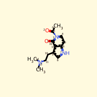 CC(=O)n1ccc2[nH]cc(CCN(C)C)c2c1=O